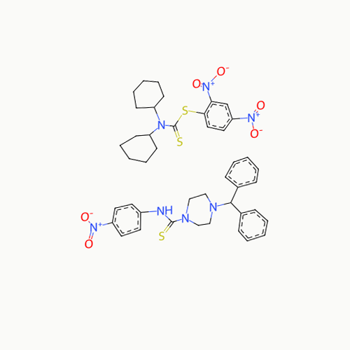 O=[N+]([O-])c1ccc(NC(=S)N2CCN(C(c3ccccc3)c3ccccc3)CC2)cc1.O=[N+]([O-])c1ccc(SC(=S)N(C2CCCCC2)C2CCCCC2)c([N+](=O)[O-])c1